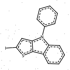 Ic1cc2c(s1)c1ccccc1n2-c1ccccc1